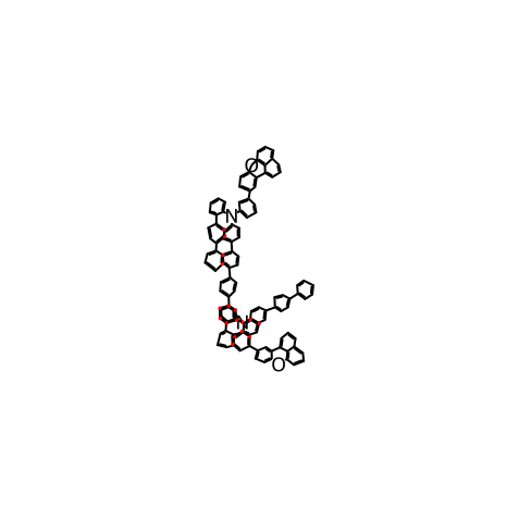 c1ccc(-c2ccc(-c3ccc(N(c4cccc(-c5ccc6c(c5)-c5cccc7cccc(c57)O6)c4)c4cc(-c5ccc(-c6ccc(-c7ccc(N(c8cccc(-c9ccc%10c(c9)-c9cccc%11cccc(c9%11)O%10)c8)c8ccccc8-c8ccc(-c9ccccc9)cc8)cc7)cc6)cc5)ccc4-c4ccccc4-c4ccccc4-c4ccccc4)cc3)cc2)cc1